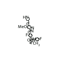 C=C(Nc1ccc(F)cc1)C1(C(=O)Nc2ccc(Oc3ncnc4cc(OCC5CCNCC5)c(OC)cc34)c(F)c2)CC1